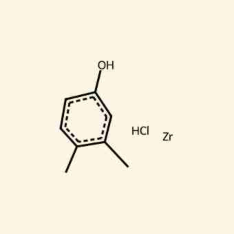 Cc1ccc(O)cc1C.Cl.[Zr]